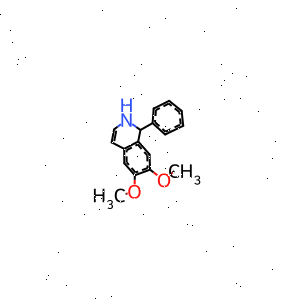 COc1cc2c(cc1OC)C(c1ccccc1)NC=C2